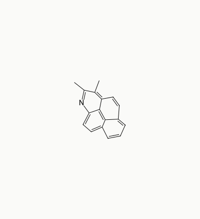 Cc1nc2ccc3cccc4ccc(c1C)c2c34